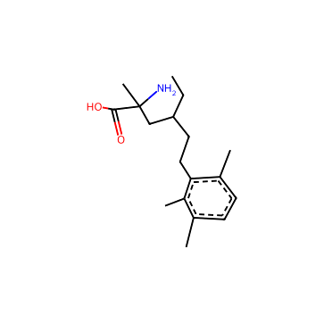 CCC(CCc1c(C)ccc(C)c1C)CC(C)(N)C(=O)O